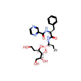 CC(C)C[C@H](NC(=O)[C@H](Cc1ccccc1)NC(=O)c1cnccn1)B1O[C@H]([C@@H](O)CO)[C@@H](CCO)O1